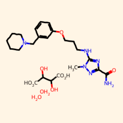 Cn1nc(C(N)=O)nc1NCCCOc1cccc(CN2CCCCC2)c1.O.O.O=C(O)C(O)C(O)C(=O)O